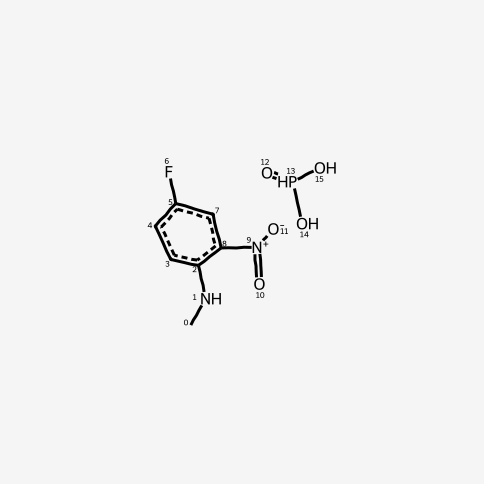 CNc1ccc(F)cc1[N+](=O)[O-].O=[PH](O)O